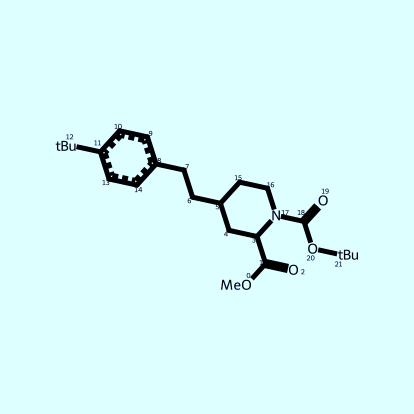 COC(=O)C1CC(CCc2ccc(C(C)(C)C)cc2)CCN1C(=O)OC(C)(C)C